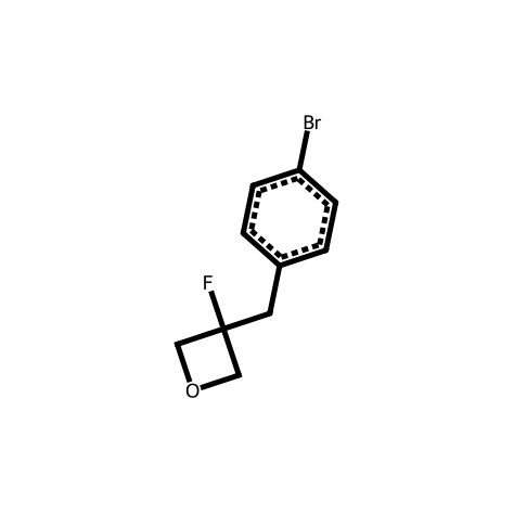 FC1(Cc2ccc(Br)cc2)COC1